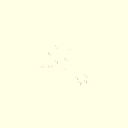 C=CCn1c(Cl)nc2c1c(=O)n(CCCc1nnn(Cc3ccccc3)n1)c(=O)n2CCCCC